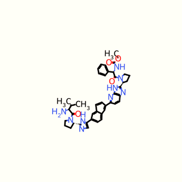 COC(=O)N[C@@H](C(=O)N1CCC[C@H]1c1nc2ccc(-c3ccc4cc(-c5cnc([C@@H]6CCCN6C(=O)[C@@H](N)C(C)C)[nH]5)ccc4c3)nc2[nH]1)c1ccccc1